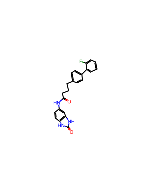 O=C(CCCc1ccc(-c2ccccc2F)cc1)Nc1ccc2[nH]c(=O)[nH]c2c1